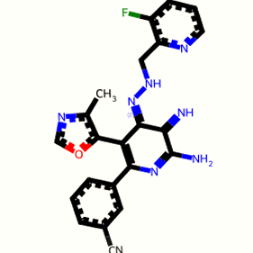 Cc1ncoc1C1=C(c2cccc(C#N)c2)N=C(N)C(=N)/C1=N\NCc1ncccc1F